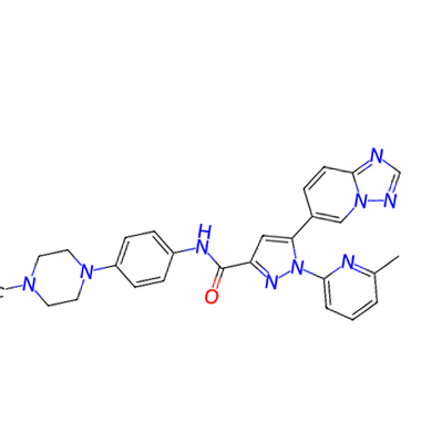 CC(=O)N1CCN(c2ccc(NC(=O)c3cc(-c4ccc5ncnn5c4)n(-c4cccc(C)n4)n3)cc2)CC1